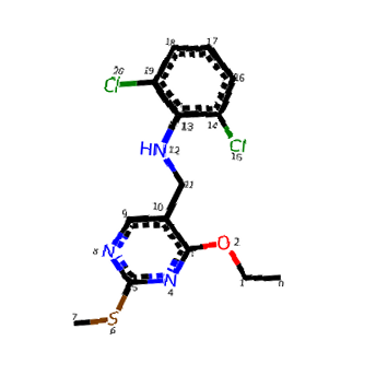 CCOc1nc(SC)ncc1CNc1c(Cl)cccc1Cl